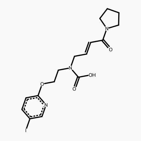 O=C(O)N(CC=CC(=O)N1CCCC1)CCOc1ccc(I)cn1